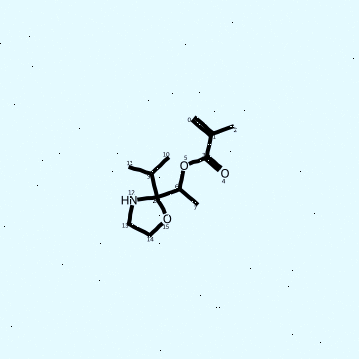 C=C(C)C(=O)OC(C)C1(C(C)C)NCCO1